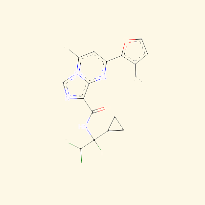 Cc1cc(-c2occc2C#N)nc2c(C(=O)NC(F)(C(F)F)C3CC3)ncn12